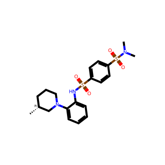 C[C@@H]1CCCN(c2ccccc2NS(=O)(=O)c2ccc(S(=O)(=O)N(C)C)cc2)C1